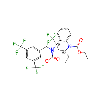 CCOC(=O)N1c2ccccc2[C@](N(Cc2cc(C(F)(F)F)cc(C(F)(F)F)c2)C(=O)OC)(C(F)(F)F)C[C@H]1CC